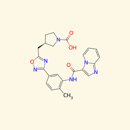 Cc1ccc(-c2noc(C[C@H]3CCN(C(=O)O)C3)n2)cc1NC(=O)c1cnc2ccccn12